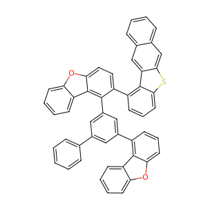 c1ccc(-c2cc(-c3cccc4oc5ccccc5c34)cc(-c3c(-c4cccc5sc6cc7ccccc7cc6c45)ccc4oc5ccccc5c34)c2)cc1